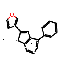 [CH]1C(c2ccoc2)=Cc2c1cccc2-c1ccccc1